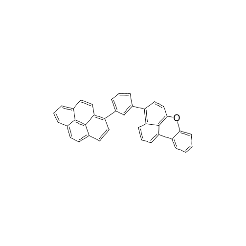 c1cc(-c2ccc3c4c(cccc24)-c2ccccc2O3)cc(-c2ccc3ccc4cccc5ccc2c3c45)c1